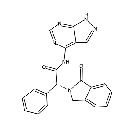 O=C(Nc1ncnc2[nH]ncc12)[C@@H](c1ccccc1)N1Cc2ccccc2C1=O